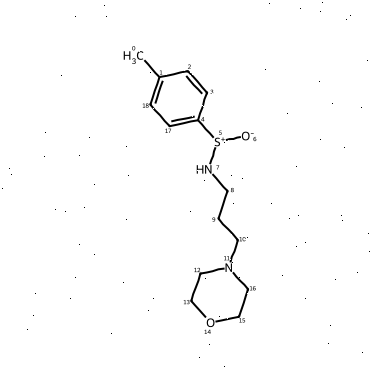 Cc1ccc([S+]([O-])NCCCN2CCOCC2)cc1